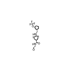 O=CCNC(=O)c1cnc(NCc2cccc(OC(F)(F)F)c2)nc1